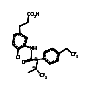 C[C@H]([C@H](C(=O)Nc1cc(CCC(=O)O)ccc1Cl)c1ccc(CC(F)(F)F)cc1)C(F)(F)F